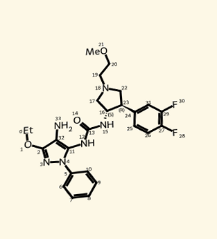 CCOc1nn(-c2ccccc2)c(NC(=O)N[C@@H]2CN(CCOC)C[C@H]2c2ccc(F)c(F)c2)c1N